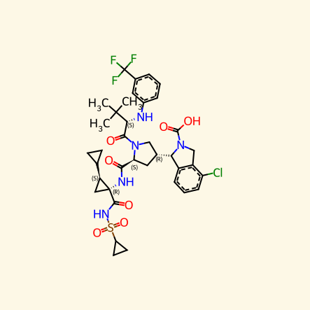 CC(C)(C)[C@H](Nc1cccc(C(F)(F)F)c1)C(=O)N1C[C@H](C2c3cccc(Cl)c3CN2C(=O)O)C[C@H]1C(=O)N[C@]1(C(=O)NS(=O)(=O)C2CC2)C[C@H]1C1CC1